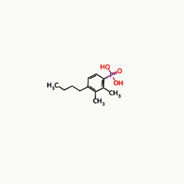 CCCCc1ccc(P(=O)(O)O)c(C)c1C